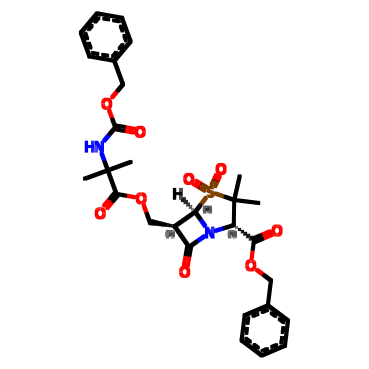 CC(C)(NC(=O)OCc1ccccc1)C(=O)OC[C@@H]1C(=O)N2[C@@H](C(=O)OCc3ccccc3)C(C)(C)S(=O)(=O)[C@H]12